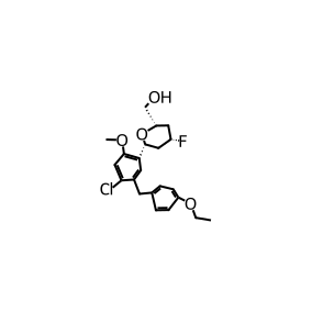 CCOc1ccc(Cc2cc([C@H]3C[C@@H](F)C[C@@H](CO)O3)c(OC)cc2Cl)cc1